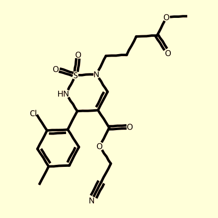 COC(=O)CCCN1C=C(C(=O)OCC#N)C(c2ccc(C)cc2Cl)NS1(=O)=O